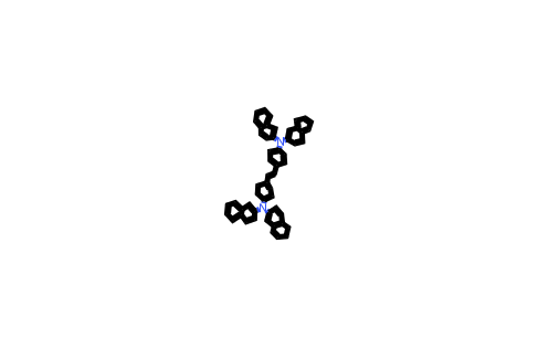 C1=Cc2cc(N(C3=CC=C(C=Cc4ccc(N(c5ccc6ccccc6c5)c5ccc6ccccc6c5)cc4)CC3)c3ccc4ccccc4c3)ccc2CC1